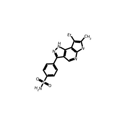 CCC1=C(C)[N]c2ncc3c(-c4ccc(S(N)(=O)=O)cc4)n[nH]c3c21